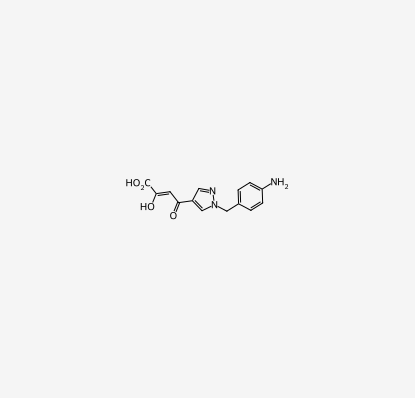 Nc1ccc(Cn2cc(C(=O)C=C(O)C(=O)O)cn2)cc1